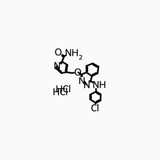 Cl.Cl.NC(=O)c1cc(COc2nnc(Nc3ccc(Cl)cc3)c3ccccc23)ccn1